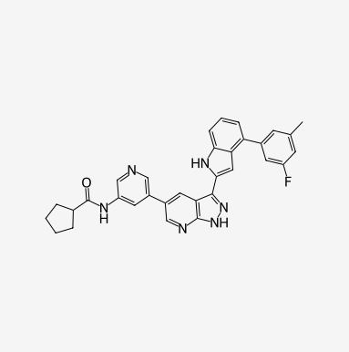 Cc1cc(F)cc(-c2cccc3[nH]c(-c4n[nH]c5ncc(-c6cncc(NC(=O)C7CCCC7)c6)cc45)cc23)c1